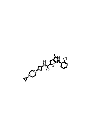 Cc1nn(-c2ccccc2Cl)c2sc(C(=O)NC3CC(N4CCN(C5CC5)CC4)C3)cc12